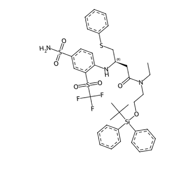 CCN(CCO[Si](c1ccccc1)(c1ccccc1)C(C)(C)C)C(=O)C[C@H](CSc1ccccc1)Nc1ccc(S(N)(=O)=O)cc1S(=O)(=O)C(F)(F)F